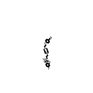 N#Cc1ccc(OCCN2CC3CN(CCCNS(=O)(=O)c4ccc(F)cc4F)CC(C2)O3)cc1